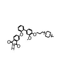 COc1cc(-c2ccccc2Oc2ccc3c(c2)C(=O)NC3=O)ccc1OCCCN1CCN(C)CC1